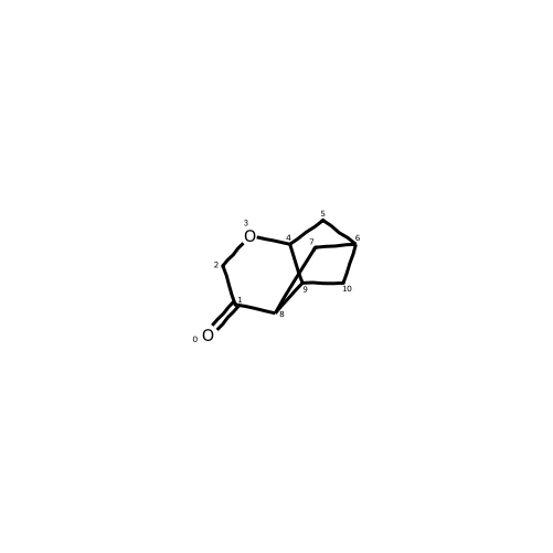 O=C1COC2CC3CC1C2C3